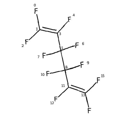 FC(F)=C(F)C(F)(F)C(F)(F)C(F)=C(F)F